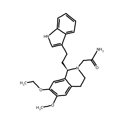 CCOc1cc2c(cc1OC)CCN(CC(N)=O)[C@@H]2CCc1c[nH]c2ccccc12